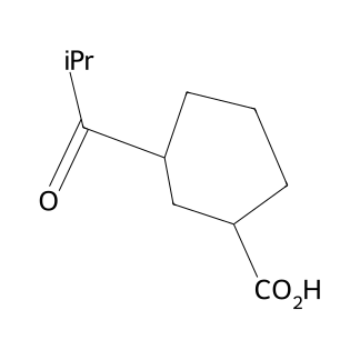 CC(C)C(=O)C1CCCC(C(=O)O)C1